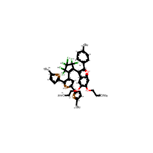 COCCOc1cc2oc(-c3ccc(C(C)(C)C)cc3)c(C3=C(c4cc(-c5ccc(C(C)(C)C)s5)sc4-c4ccc(C(C)(C)C)s4)C(F)(F)C(F)(F)C3(F)F)c2cc1OCCOC